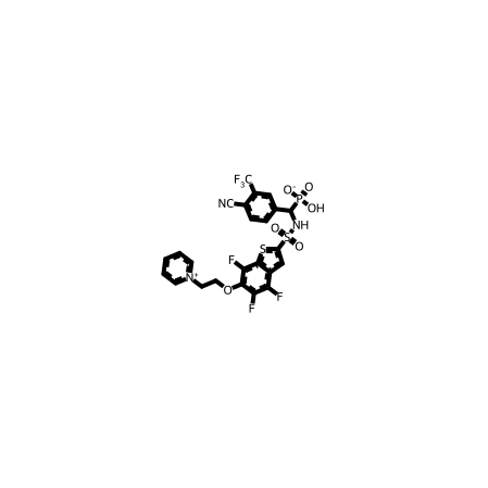 N#Cc1ccc(C(NS(=O)(=O)c2cc3c(F)c(F)c(OCC[n+]4ccccc4)c(F)c3s2)P(=O)([O-])O)cc1C(F)(F)F